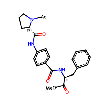 COC(=O)[C@H](Cc1ccccc1)NC(=O)c1ccc(NC(=O)[C@@H]2CCCN2C(C)=O)cc1